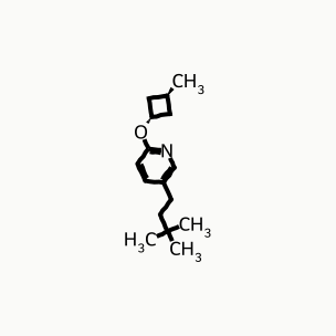 CC(C)(C)CCc1ccc(O[C@H]2C[C@H](C)C2)nc1